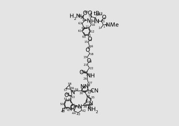 CN[C@@H](C)C(=O)N[C@H](C(=O)N1Cc2cc(OCCOCCOCCC(=O)NCCn3nc4c(c3C#N)-c3cnc(N)c(c3)N3CCC[C@@H]3c3cc(F)ccc3C(=O)N(C3CC3)C4)ccc2C[C@H]1C(N)=O)C(C)(C)C